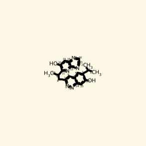 CC(C)c1cc2cc(CC(C)c3nc4nccnc4cc3O)nnc2cc1O